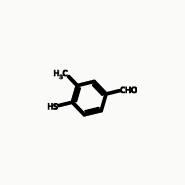 Cc1cc(C=O)ccc1S